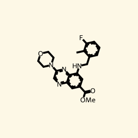 COC(=O)c1cc(NCc2cccc(F)c2C)c2nc(N3CCOCC3)cnc2c1